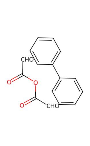 O=CC(=O)OC(=O)C=O.c1ccc(-c2ccccc2)cc1